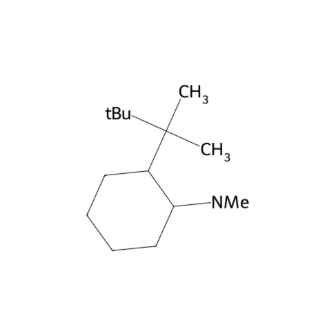 CNC1CCCCC1C(C)(C)C(C)(C)C